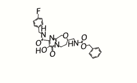 O=C(NCC1CCn2c(nc(C(=O)NCc3ccc(F)cc3)c(O)c2=O)CO1)OCc1ccccc1